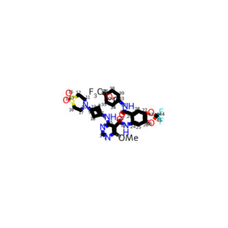 COc1ncnc(NC23CC(N4CCS(=O)(=O)CC4)(C2)C3)c1C(=O)Nc1cc2c(cc1C(=O)NC13CCC(C(F)(F)F)(CC1)OC3)OC(F)(F)O2